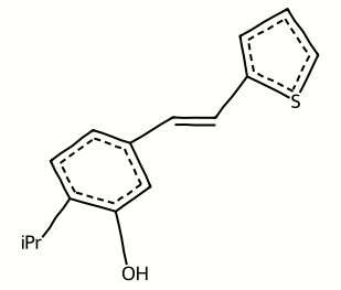 CC(C)c1ccc(/C=C/c2cccs2)cc1O